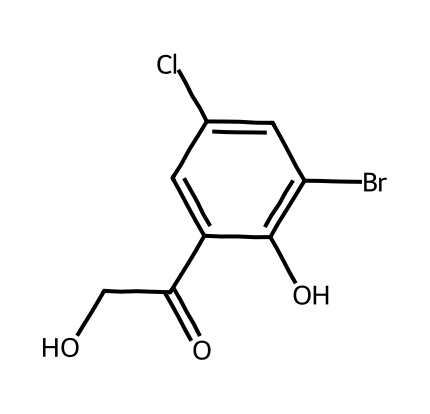 O=C(CO)c1cc(Cl)cc(Br)c1O